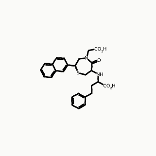 O=C(O)CN1CC(c2ccc3ccccc3c2)SCC(NC(CCc2ccccc2)C(=O)O)C1=O